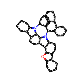 c1ccc(-n2c3ccccc3c3ccc4c5c6oc7ccccc7c6ccc5n(-c5cc6ccccc6c6ccccc56)c4c32)cc1